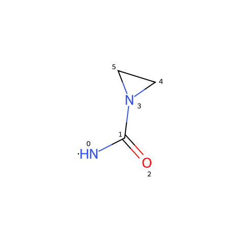 [NH]C(=O)N1CC1